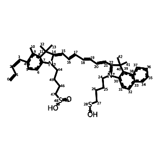 C=C/C=C\c1ccc2c(c1C)C(C)(C)/C(=C/C=C/C=C/C=C/C1=[N+](CCCCSO)c3ccc4ccccc4c3C1(C)C)N2CCCCS(=O)O